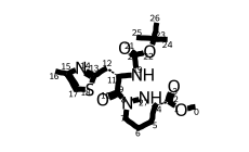 COC(=O)[C@@H]1CCCN(C(=O)[C@H](Cc2nc(C)cs2)NC(=O)OC(C)(C)C)N1